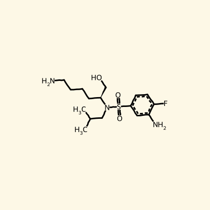 CC(C)CN([C@H](CO)CCCCN)S(=O)(=O)c1ccc(F)c(N)c1